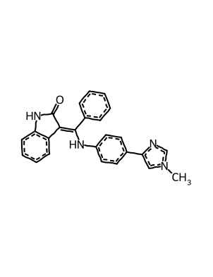 Cn1cnc(-c2ccc(NC(=C3C(=O)Nc4ccccc43)c3ccccc3)cc2)c1